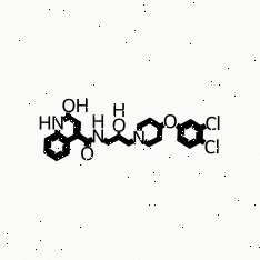 O=C(NC[C@@H](O)CN1CCC(Oc2ccc(Cl)c(Cl)c2)CC1)C1=CC(O)Nc2ccccc21